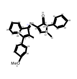 COc1ccc(C2=C(C)/C(=N\c3cn(C)n(-c4ccccc4)c3=O)c3cccc[n+]32)cc1